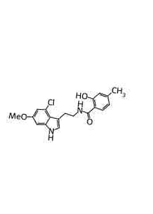 COc1cc(Cl)c2c(CCNC(=O)c3ccc(C)cc3O)c[nH]c2c1